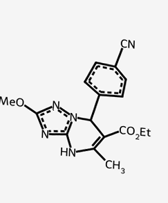 CCOC(=O)C1=C(C)Nc2nc(OC)nn2C1c1ccc(C#N)cc1